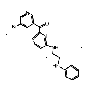 O=C(c1cncc(Br)c1)c1cccc(NCCNc2ccccc2)n1